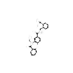 CCN1C(=O)c2ccccc2Sc2ccc(C(=O)NCc3ccccc3C(F)(F)F)cc21